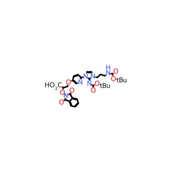 CC(C)(C)OC(=O)N=c1n(CCCNC(=O)OC(C)(C)C)ccn1-c1ccc(OCC(ON2C(=O)c3ccccc3C2=O)C(=O)O)cn1